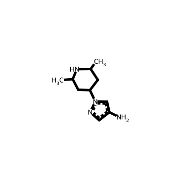 CC1CC(n2cc(N)cn2)CC(C)N1